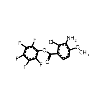 COc1ccc(C(=O)Oc2c(F)c(F)c(F)c(F)c2F)c(Cl)c1N